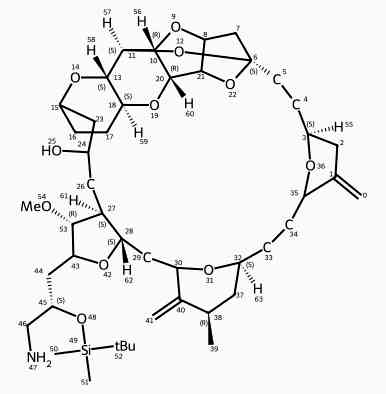 C=C1C[C@@H]2CC[C@@]34CC5O[C@H]6[C@@H](O3)[C@H]3OC(CC[C@@H]3O[C@H]6C5O4)CC(O)C[C@H]3[C@H](CC4O[C@@H](CCC1O2)C[C@@H](C)C4=C)OC(C[C@@H](CN)O[Si](C)(C)C(C)(C)C)[C@@H]3OC